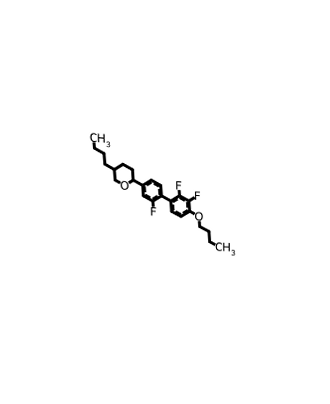 CCCCOc1ccc(-c2ccc(C3CCC(CCCC)CO3)cc2F)c(F)c1F